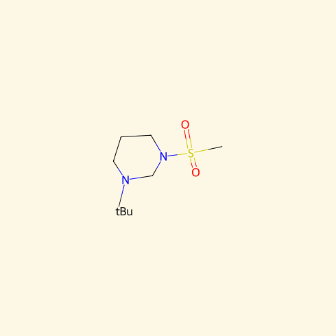 CC(C)(C)N1CCCN(S(C)(=O)=O)C1